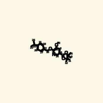 COc1cc(B2OC(C)(C)C(C)(C)O2)cnc1OCc1ccc(C(C)C)cc1